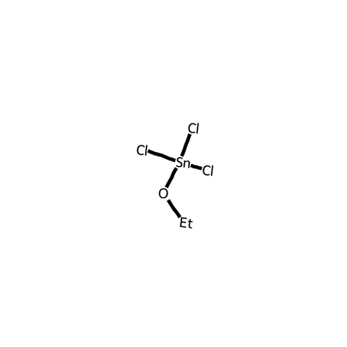 CC[O][Sn]([Cl])([Cl])[Cl]